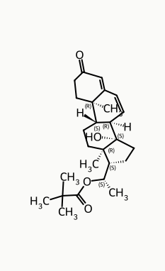 C[C@H](OC(=O)C(C)(C)C)[C@H]1CC[C@]2(O)[C@@H]3C=CC4=CC(=O)CC[C@]4(C)[C@H]3CC[C@]12C